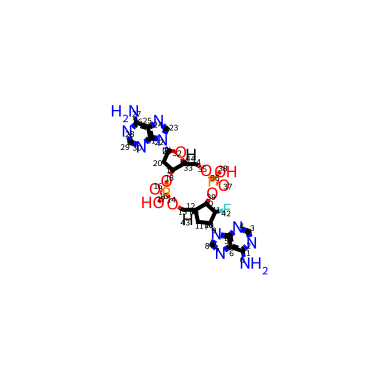 Nc1ncnc2c1ncn2[C@@H]1C[C@@H]2COP(=O)(O)OC3C[C@H](n4cnc5c(N)ncnc54)O[C@@H]3COP(=O)(O)OC2C1F